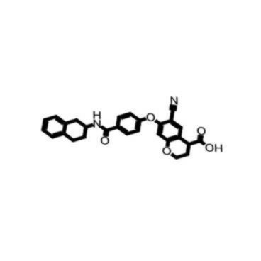 N#Cc1cc2c(cc1Oc1ccc(C(=O)NC3CCc4ccccc4C3)cc1)OCCC2C(=O)O